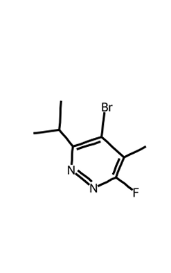 Cc1c(F)nnc(C(C)C)c1Br